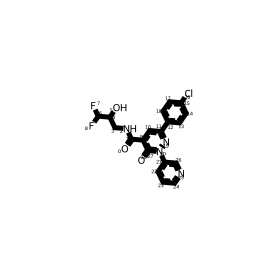 O=C(NCC(O)C(F)F)c1cc(-c2ccc(Cl)cc2)nn(-c2cccnc2)c1=O